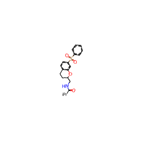 CC(C)C(=O)NCC1CCc2ccc(S(=O)(=O)c3ccccc3)cc2O1